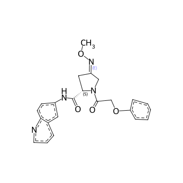 CO/N=C1\C[C@@H](C(=O)Nc2ccc3ncccc3c2)N(C(=O)COc2ccccc2)C1